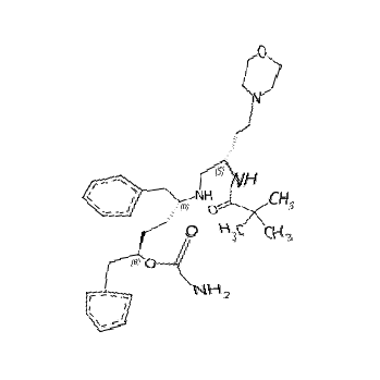 CC(C)(C)C(=O)N[C@@H](CCN1CCOCC1)CN[C@H](CC[C@H](Cc1ccccc1)OC(N)=O)Cc1ccccc1